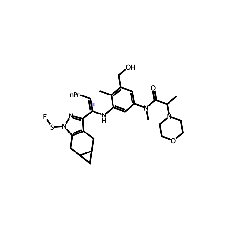 CCC/C=C(/Nc1cc(N(C)C(=O)C(C)N2CCOCC2)cc(CO)c1C)c1nn(SF)c2c1CC1CC1C2